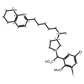 CCc1cc(F)c(OC)c(C(C(=O)O)N2CC[C@@H](N(C)CCCCCc3ccc4c(n3)NCCC4)C2)c1